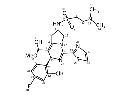 COC(O)C1=C2C[C@H](NS(=O)(=O)CCN(C)C)CN2C(c2nccs2)=N[C@H]1c1ccc(F)cc1Cl